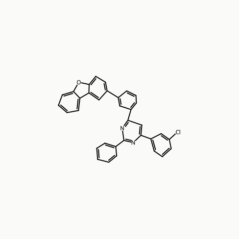 Clc1cccc(-c2cc(-c3cccc(-c4ccc5oc6ccccc6c5c4)c3)nc(-c3ccccc3)n2)c1